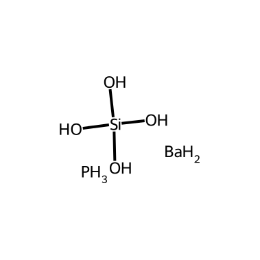 O[Si](O)(O)O.P.[BaH2]